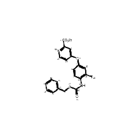 CCOC(=O)c1cc(Oc2ccc(NC(=O)OCc3ccccc3)c(F)c2)ccn1